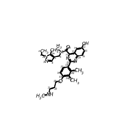 CCn1ncc(CN(C)C(=O)c2nc(-c3ccc(OCCCNC)c(C)c3C)nc3ccc(O)cc23)c1C